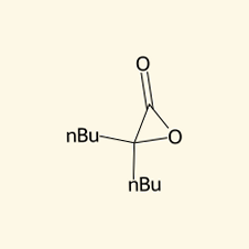 CCCCC1(CCCC)OC1=O